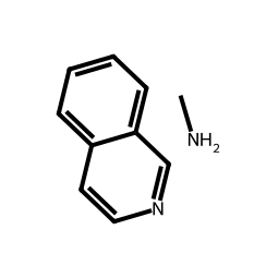 CN.c1ccc2cnccc2c1